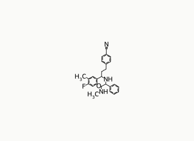 CNC(=O)C(NC(CCc1ccc(C#N)cc1)c1ccc(F)c(C)c1)c1ccccc1